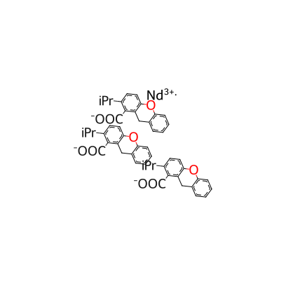 CC(C)c1ccc2c(c1C(=O)[O-])Cc1ccccc1O2.CC(C)c1ccc2c(c1C(=O)[O-])Cc1ccccc1O2.CC(C)c1ccc2c(c1C(=O)[O-])Cc1ccccc1O2.[Nd+3]